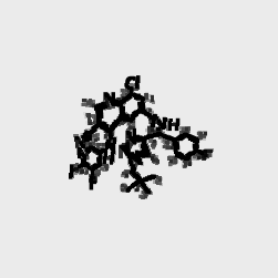 CC(C)(C)Cn1cc([C@@H](Nc2cc(Cl)c3ncc(C#N)c(Nc4cnc(F)c(F)c4)c3c2)c2ccc(F)cc2)nn1